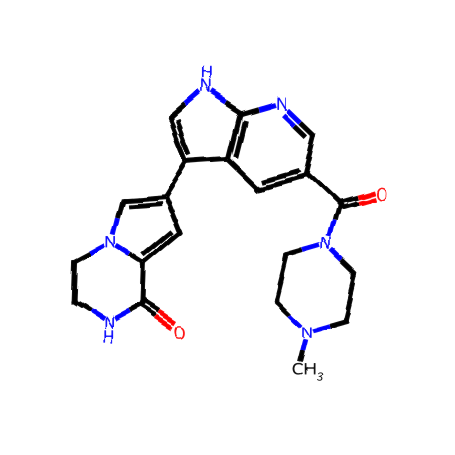 CN1CCN(C(=O)c2cnc3[nH]cc(-c4cc5n(c4)CCNC5=O)c3c2)CC1